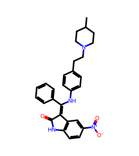 CC1CCN(CCc2ccc(NC(=C3C(=O)Nc4ccc([N+](=O)[O-])cc43)c3ccccc3)cc2)CC1